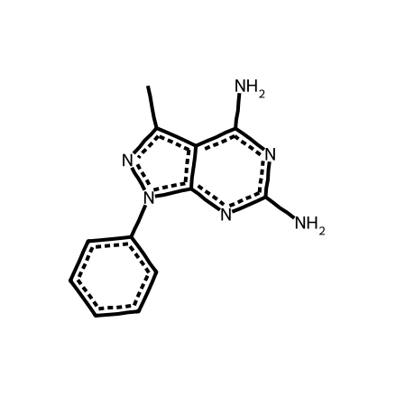 Cc1nn(-c2ccccc2)c2nc(N)nc(N)c12